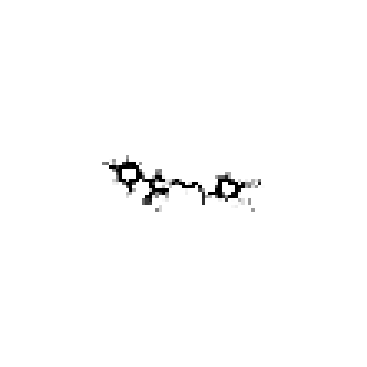 Nc1nc(NCCCn2cc(C(=O)O)c(-c3ccc(Cl)cc3F)c2)ccc1[N+](=O)[O-]